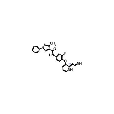 Cc1nn(-c2ccccc2)cc1C(=O)Nc1ccc(OC2=CC=CN/C2=C\C=N)c(F)c1